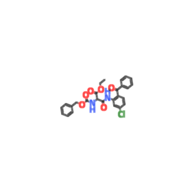 CCOC(=O)C(NC(=O)OCc1ccccc1)C(=O)Nc1cc(Cl)ccc1C(=O)c1ccccc1